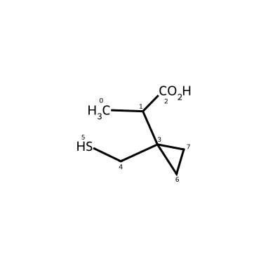 CC(C(=O)O)C1(CS)CC1